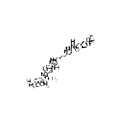 Cc1nn(C(=O)OC(C)(C)C)c(C)c1CC(=O)Nc1nnc(CCCCc2ccc(NC(=O)Cc3cccc(OC(F)(F)F)c3)nn2)s1